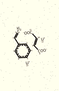 C=Cc1ccccc1.O=C([O-])C=CC(=O)[O-].[Li+].[Li+]